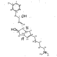 Cc1cccc(C[C@H](O)/C=C/[C@@H]2[C@H]3CC(CSCCCN(C)C)=C[C@H]3C[C@H]2O)c1